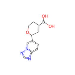 OB(O)C1=CC(c2ccc3ncnn3c2)OCC1